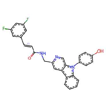 O=C(/C=C/c1cc(F)cc(F)c1)NCc1cc2c3ccccc3n(-c3ccc(O)cc3)c2cn1